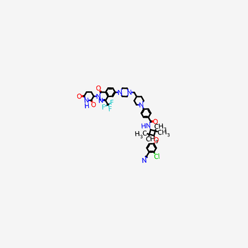 CC1(C)[C@H](NC(=O)c2ccc(N3CCC(CN4CCN(c5ccc6c(=O)n(C7CCC(=O)NC7=O)nc(C(F)(F)F)c6c5)CC4)CC3)cc2)C(C)(C)[C@H]1Oc1ccc(C#N)c(Cl)c1